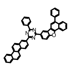 c1ccc(-c2nc(-c3ccc4c(ccc5c6ccccc6ccc45)c3)nc(-c3ccc4oc5c6ccccc6c(-c6ccccc6)cc5c4c3)n2)cc1